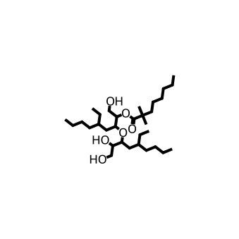 CCCCCCC(C)(C)C(=O)OC(CO)C(CC(CC)CCCC)OC(CC(CC)CCCC)C(O)CO